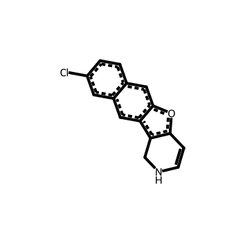 Clc1ccc2cc3oc4c(c3cc2c1)CNC=C4